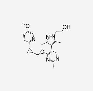 COc1ccc([C@H]2C[C@@H]2COc2nc(C)ncc2-c2c(C)nn(CCO)c2C)nc1